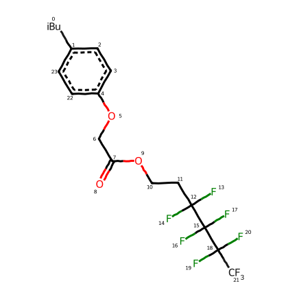 CCC(C)c1ccc(OCC(=O)OCCC(F)(F)C(F)(F)C(F)(F)C(F)(F)F)cc1